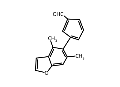 Cc1cc2occc2c(C)c1-c1cccc(C=O)c1